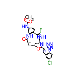 COC(=O)Nc1ccc2c(c1)NC(=O)CCCCC(NC(=O)/C=C/c1cc(Cl)ccc1-n1cnnn1)c1nc-2c(F)[nH]1